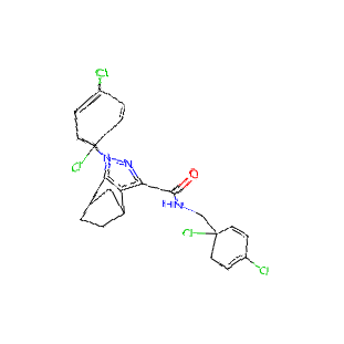 O=C(NCC1(Cl)C=CC(Cl)=CC1)c1nn(C2(Cl)C=CC(Cl)=CC2)c2c1C1CCC2C1